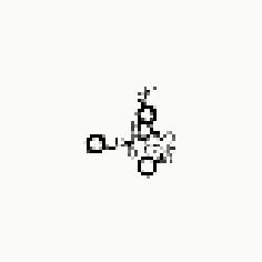 CCC1CCCCC1.O=C=C(c1ccc(OBr)cc1)[C@H](NC(=O)OCc1ccccc1)C(=O)O